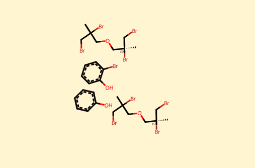 CC(Br)(CBr)COC[C@](C)(Br)CBr.CC(Br)(CBr)COC[C@](C)(Br)CBr.Oc1ccccc1.Oc1ccccc1Br